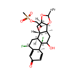 CCCC1O[C@@H]2C[C@H]3[C@@H]4C[C@H](F)C5=CC(=O)C=C[C@]5(C)[C@@]4(F)C(O)C[C@]3(C)[C@]2(C(=O)COS(C)(=O)=O)O1